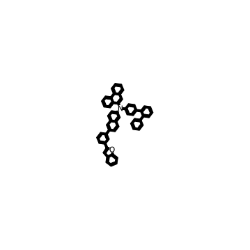 c1ccc(-c2ccccc2-c2ccc(N(c3ccc4cc(-c5cccc(-c6cc7ccccc7o6)c5)ccc4c3)c3cc4ccccc4c4ccccc34)cc2)cc1